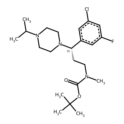 CC(C)N1CCN([C@@H](CCN(C)C(=O)OC(C)(C)C)c2cc(F)cc(Cl)c2)CC1